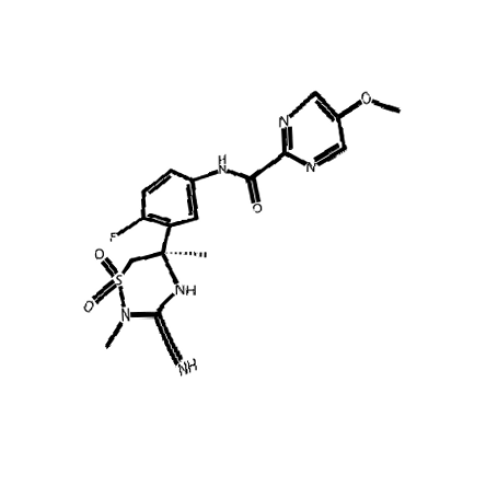 COc1cnc(C(=O)Nc2ccc(F)c([C@]3(C)CS(=O)(=O)N(C)C(=N)N3)c2)nc1